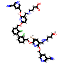 N#Cc1cncc(COc2nc(OCc3cccc(-c4cccc(COc5nc(OCc6cncc(C#N)c6)c(CNCCCC=O)cc5Br)c4Cl)c3Cl)ccc2CNCCCC(=O)O)c1